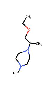 CCOCC(C)N1CCN(C)CC1